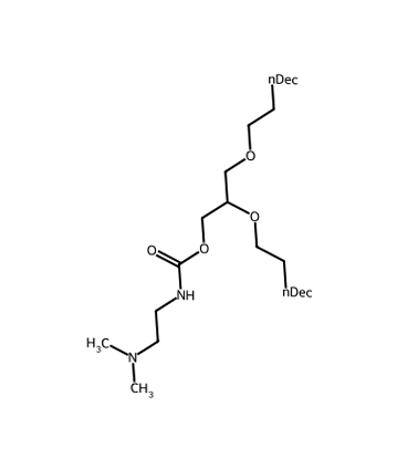 CCCCCCCCCCCCOCC(COC(=O)NCCN(C)C)OCCCCCCCCCCCC